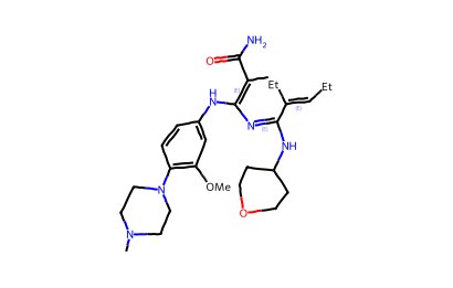 CC/C=C(CC)/C(=N\C(Nc1ccc(N2CCN(C)CC2)c(OC)c1)=C(/C)C(N)=O)NC1CCOCC1